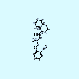 N#Cc1ccccc1OCC(O)CNC1CCCc2ccccc21